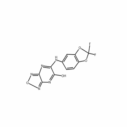 Oc1nc2nonc2nc1Nc1ccc2c(c1)OC(F)(F)O2